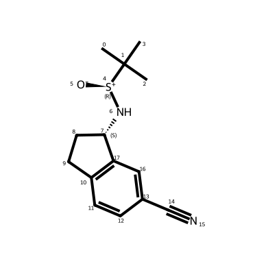 CC(C)(C)[S@+]([O-])N[C@H]1CCc2ccc(C#N)cc21